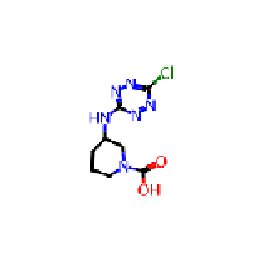 O=C(O)N1CCCC(Nc2nnc(Cl)nn2)C1